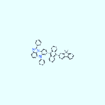 CC1(C)c2ccccc2-c2ccc(-c3c4ccccc4c(-c4ccc5c(c4)N(c4ccccc4)c4cccc6nc(-c7ccccc7)n-5c46)c4ccccc34)cc21